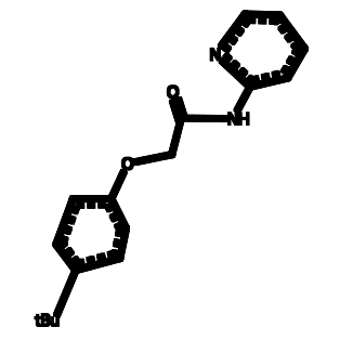 CC(C)(C)c1ccc(OCC(=O)Nc2ccccn2)cc1